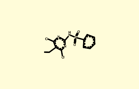 CCc1c(Cl)nc(NS(=O)(=O)c2ccccc2)nc1Cl